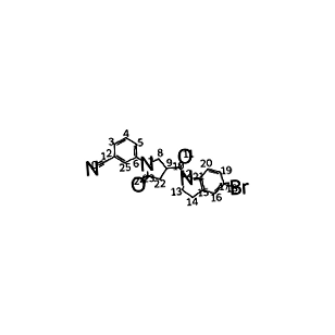 N#Cc1cccc(N2CC(C(=O)N3CCc4cc(Br)ccc43)CC2=O)c1